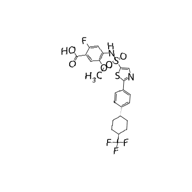 COc1cc(C(=O)O)c(F)cc1NS(=O)(=O)c1cnc(-c2ccc([C@H]3CC[C@H](C(F)(F)F)CC3)cc2)s1